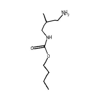 CCCCOC(=O)NCC(C)CN